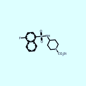 CCOC(=O)N1CCC(NS(=O)(=O)c2ccc(F)c3ccccc23)CC1